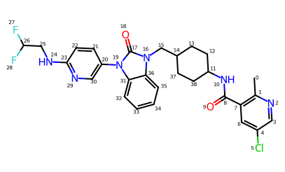 Cc1ncc(Cl)cc1C(=O)NC1CCC(Cn2c(=O)n(-c3ccc(NCC(F)F)nc3)c3ccccc32)CC1